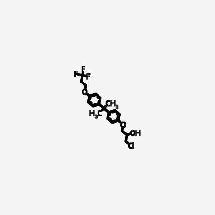 CC(C)(c1ccc(OCCC(F)(F)F)cc1)c1ccc(OCC(O)CCl)cc1